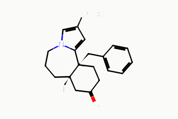 CCOC(=O)c1cc2n(c1)CCC[C@H]1CC(=O)CC[C@@]21Cc1ccccc1